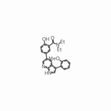 CCN(CC)C(=O)c1cc(-c2cnc3[nH]cc(-c4ccccc4OC)c3c2)ccc1O